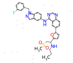 CCCNC(CS(C)(=O)=O)c1ccc(-c2ccc3ncnc(Nc4ccc5c(cnn5Cc5cccc(F)c5)c4)c3c2)o1